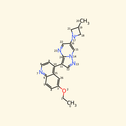 CCOc1ccc2nccc(-c3cnn4cc(N5CC(C)C5)cnc34)c2c1